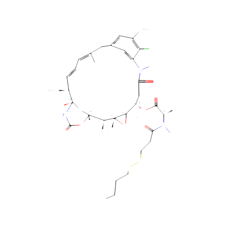 COc1cc2cc(c1Cl)N(C)C(=O)C[C@@H](OC(=O)[C@@H](C)N(C)C(=O)CCSSCCCC(C)=O)[C@@]1(C)O[C@@H]1[C@@H](C)[C@H]1C[C@](O)(NC(=O)O1)[C@@H](OC)/C=C/C=C(\C)C2